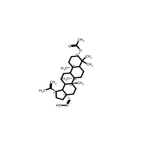 C=C(C)[C@@H]1CC[C@]2(/C=N\O)CC[C@]3(C)C(CCC4[C@@]5(C)CC[C@H](OC(C)=O)C(C)(C)C5CC[C@]43C)C12